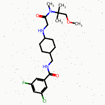 COCC(C)(C)N(C)C(=O)CNC1CCC(CNC(=O)c2cc(F)cc(Cl)c2)CC1